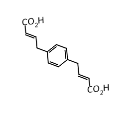 O=C(O)C=CCc1ccc(CC=CC(=O)O)cc1